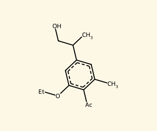 CCOc1cc(C(C)CO)cc(C)c1C(C)=O